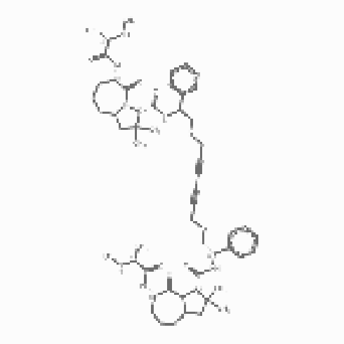 CN[C@@H](C)C(=O)N[C@H]1CCSC2CC(C)(C)[C@@H](C(=O)N[C@H](COCC#CC#CCOCC(NC(=O)[C@H]3N4C(=O)[C@@H](NC(=S)[C@H](C)NC)CCSC4CC3(C)C)c3ccccc3)c3ccccc3)C2C1=O